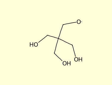 [O]CC(CO)(CO)CO